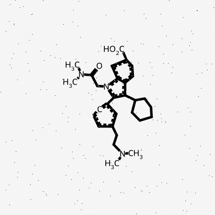 CN(C)CCc1cccc(-c2c(C3CCCCC3)c3ccc(C(=O)O)cc3n2CC(=O)N(C)C)c1